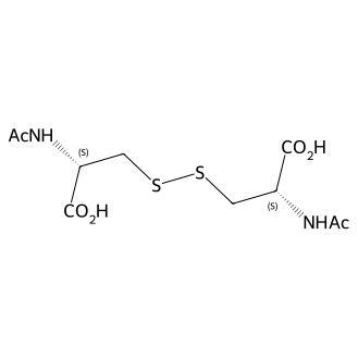 CC(=O)N[C@H](CSSC[C@@H](NC(C)=O)C(=O)O)C(=O)O